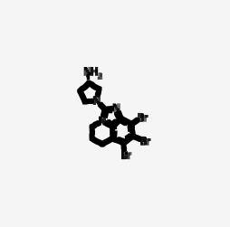 N[C@H]1CCN(c2nc3c(Br)c(Br)c(Br)c4c3n2CCC4)C1